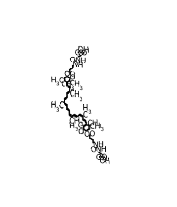 CC(C=CC=C(C)C=CC1=C(C)C(=O)C(OC(=O)CCCNC(=O)NCCS(=O)(=O)O)CC1(C)C)=CC=CC=C(C)C=CC=C(C)C=CC1=C(C)C(=O)C(OC(=O)CCCNC(=O)NCCS(=O)(=O)O)CC1(C)C